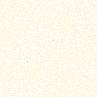 CC(C)(C)OC(=O)N1CC=C(C2OC(C)(c3ccc(Cl)cc3F)Oc3ccccc32)C1